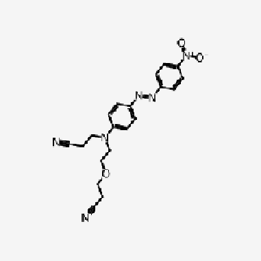 N#CCCOCCN(CCC#N)c1ccc(N=Nc2ccc([N+](=O)[O-])cc2)cc1